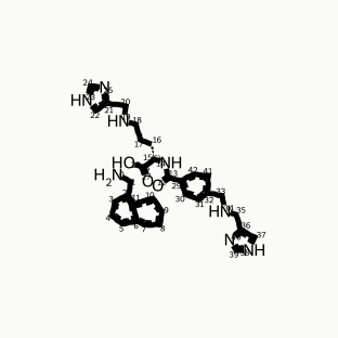 NCc1cccc2ccccc12.O=C(N[C@@H](CCCNCc1c[nH]cn1)C(=O)O)c1ccc(CNCc2c[nH]cn2)cc1